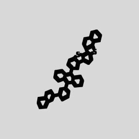 c1cc(-c2ccc3ccccc3c2)cc(-c2c3ccccc3c(-c3ccc4sc5c(ccc6sc7c8ccccc8ccc7c65)c4c3)c3ccccc23)c1